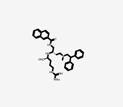 CNC(=N)NCCC[C@@H](C=O)N[C@@H](CCN(C)CC(c1ccccc1)c1ccccc1)CNC(=O)c1ccc2ccccc2c1